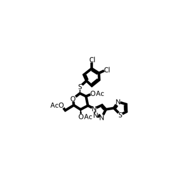 CC(=O)OCC1O[C@H](Sc2ccc(Cl)c(Cl)c2)C(OC(C)=O)C(n2cc(-c3nccs3)nn2)[C@H]1OC(C)=O